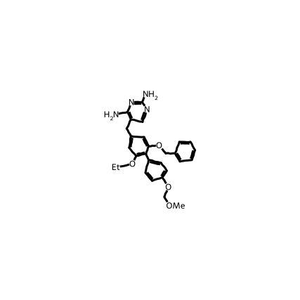 CCOc1cc(Cc2cnc(N)nc2N)cc(OCc2ccccc2)c1-c1ccc(OCOC)cc1